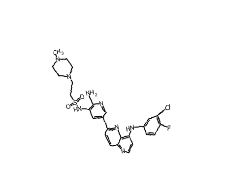 CN1CCN(CCS(=O)(=O)Nc2cc(-c3ccc4nccc(Nc5ccc(F)c(Cl)c5)c4n3)cnc2N)CC1